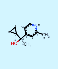 Cc1cc([C@@](C)(O)C2CC2)ccn1